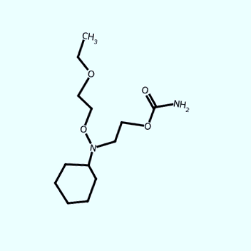 CCOCCON(CCOC(N)=O)C1CCCCC1